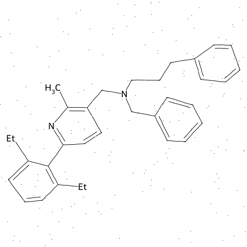 CCc1cccc(CC)c1-c1ccc(CN(CCCc2ccccc2)Cc2ccccc2)c(C)n1